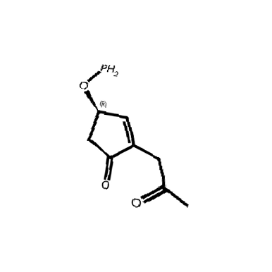 CC(=O)CC1=C[C@H](OP)CC1=O